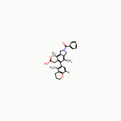 Cc1c(-c2c(C)c3c(c(C)c2CC(=O)O)CN(C(=O)c2ccccc2)C3)cc(F)c2c1CCCO2